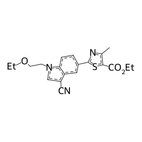 CCOCCn1cc(C#N)c2cc(-c3nc(C)c(C(=O)OCC)s3)ccc21